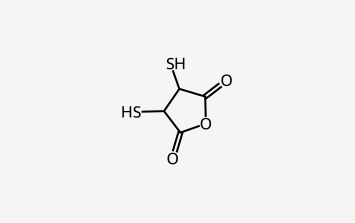 O=C1OC(=O)C(S)C1S